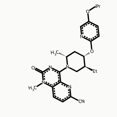 CC[C@H]1CN(c2nc(=O)n(C)c3ccc(C#N)nc23)[C@H](C)C[C@@H]1Oc1ccc(OC(C)C)cn1